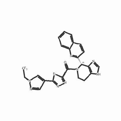 O=C(c1nnc(-c2cnn(CC(F)(F)F)c2)o1)N1CCc2[nH]cnc2[C@H]1c1ccc2ccccc2n1